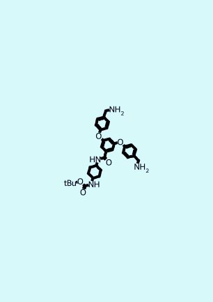 CC(C)(C)OC(=O)NC1CCC(NC(=O)c2cc(Oc3ccc(CN)cc3)cc(Oc3ccc(CN)cc3)c2)CC1